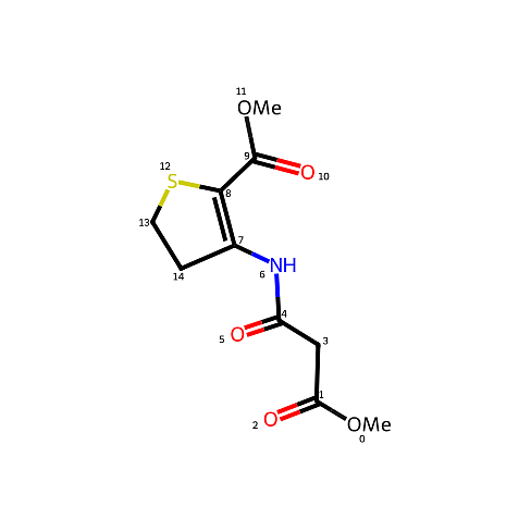 COC(=O)CC(=O)NC1=C(C(=O)OC)SCC1